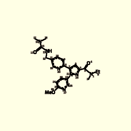 CCN(C)C(=O)c1cc(-c2ccc(CNC(=O)N(C)C)cn2)n(-c2ccc(OC)nn2)n1